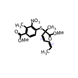 C/C=C\C=C/C(C)(Sc1ccc(C(=O)OC)c(C)c1[N+](=O)[O-])C(=O)OC